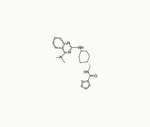 CN(C)c1nc(N[C@H]2CC[C@@H](CNC(=O)c3cccs3)CC2)nc2ccccc12